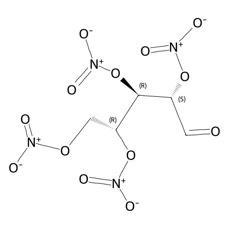 O=C[C@@H](O[N+](=O)[O-])[C@H](O[N+](=O)[O-])[C@@H](CO[N+](=O)[O-])O[N+](=O)[O-]